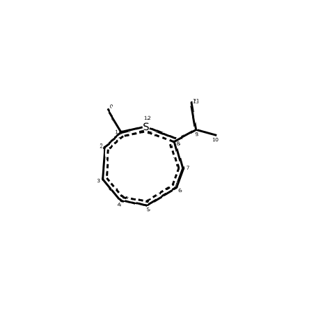 Cc1ccccccc(C(C)C)s1